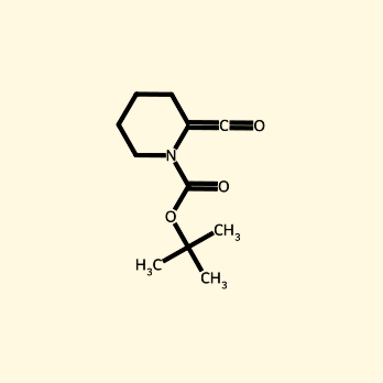 CC(C)(C)OC(=O)N1CCCCC1=C=O